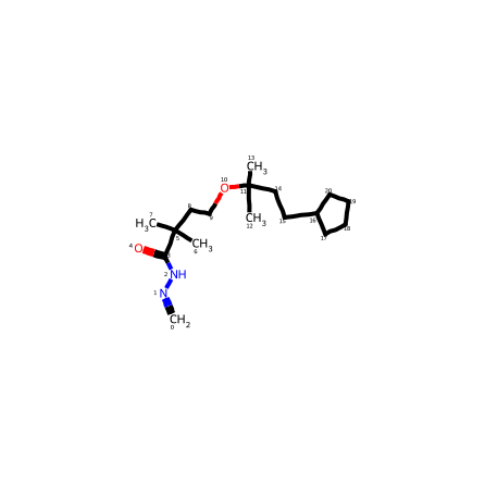 C=NNC(=O)C(C)(C)CCOC(C)(C)CCC1CCCC1